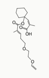 C=COCCOCCC=C(C)C(=O)OC1(C=C(C)C(=O)O)CCCCC1